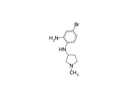 CN1CCC(Nc2ccc(Br)cc2N)C1